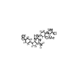 COc1cc(Nc2nc3c(c(N(C)C)n2)CCC3c2ccc(OC(F)(F)F)cc2)ccc1-n1cnc(Cl)c1